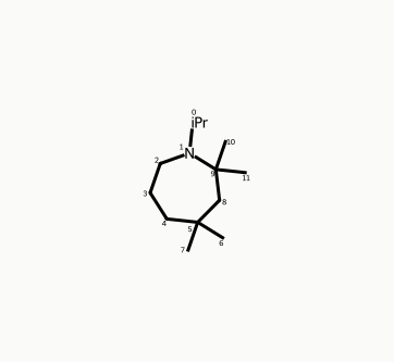 CC(C)N1CCCC(C)(C)CC1(C)C